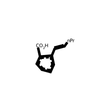 CCCC=Cc1ccccc1C(=O)O